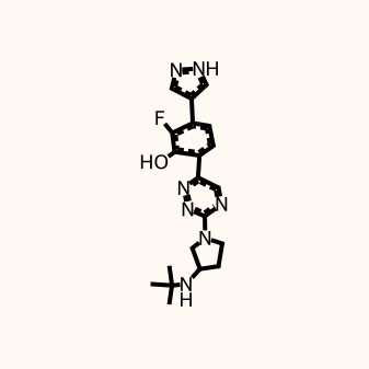 CC(C)(C)NC1CCN(c2ncc(-c3ccc(-c4cn[nH]c4)c(F)c3O)nn2)C1